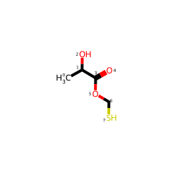 CC(O)C(=O)OCS